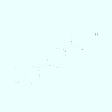 CSC(=CC#N)N1CCN(C2CCS(O)(O)C2)CC1